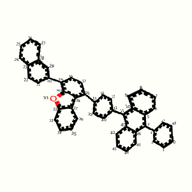 c1ccc(-c2c3ccccc3c(-c3ccc(-c4ccc(-c5ccc6ccccc6c5)c5oc6ccccc6c45)cc3)c3ccccc23)cc1